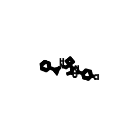 Cc1oc(-c2ccc(Cl)cc2)nc1C1(CNC2CC2c2ccccc2)CCC1